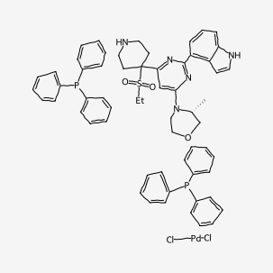 CCS(=O)(=O)C1(c2cc(N3CCOC[C@H]3C)nc(-c3cccc4[nH]ccc34)n2)CCNCC1.[Cl][Pd][Cl].c1ccc(P(c2ccccc2)c2ccccc2)cc1.c1ccc(P(c2ccccc2)c2ccccc2)cc1